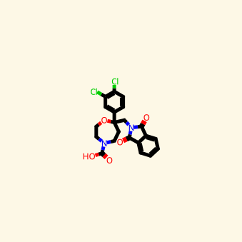 O=C(O)N1CCOC(CN2C(=O)c3ccccc3C2=O)(c2ccc(Cl)c(Cl)c2)CC1